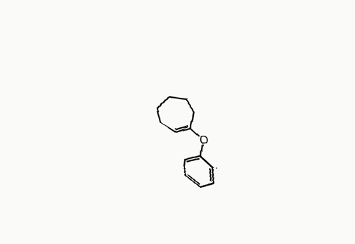 [c]1ccccc1OC1=CCCCCC1